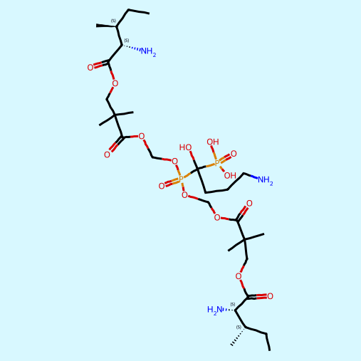 CC[C@H](C)[C@H](N)C(=O)OCC(C)(C)C(=O)OCOP(=O)(OCOC(=O)C(C)(C)COC(=O)[C@@H](N)[C@@H](C)CC)C(O)(CCCN)P(=O)(O)O